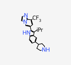 CC(C)c1c(-c2cc(C(F)(F)F)c3nccn3c2)[nH]c2ccc(C3CCNCC3)cc12